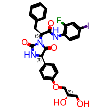 O=C(Nc1ccc(I)cc1F)[C@H](Cc1ccccc1)N1C(=O)N[C@H](c2ccc(OC[C@@H](O)CO)cc2)C1=O